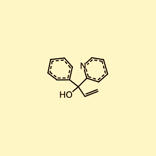 C=CC(O)(c1ccccc1)c1ccccn1